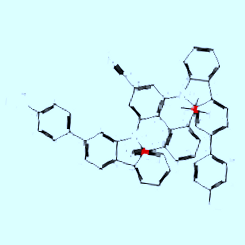 Cc1ccc(-c2ccc3c4ccccc4n(-c4cc(C#N)cc(-n5c6ccccc6c6ccc(-c7ccc(C)cc7)cc65)c4-c4c(C#N)cccc4C(F)(F)F)c3c2)cc1